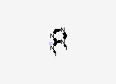 I/N=c1/ncncn1I